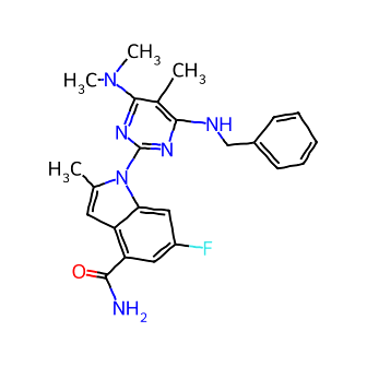 Cc1c(NCc2ccccc2)nc(-n2c(C)cc3c(C(N)=O)cc(F)cc32)nc1N(C)C